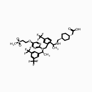 CC(NC[C@H]1CC[C@H](CC(=O)O)CC1)c1ccc(C(F)(F)F)cc1CN(c1ncc(OCCS(C)(=O)=O)cn1)[C@@H](C)c1cc(C(F)(F)F)cc(C(F)(F)F)c1